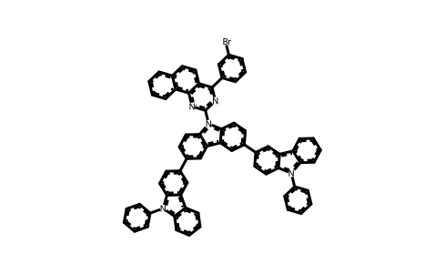 Brc1cccc(-c2nc(-n3c4ccc(-c5ccc6c(c5)c5ccccc5n6-c5ccccc5)cc4c4cc(-c5ccc6c(c5)c5ccccc5n6-c5ccccc5)ccc43)nc3c2ccc2ccccc23)c1